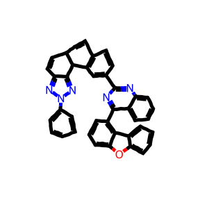 C1=CC2C=Cc3nn(-c4ccccc4)nc3C2c2cc(-c3nc(-c4cccc5oc6ccccc6c45)c4ccccc4n3)ccc21